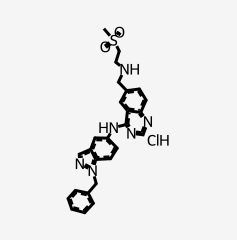 CS(=O)(=O)CCNCc1ccc2ncnc(Nc3ccc4c(cnn4Cc4ccccc4)c3)c2c1.Cl